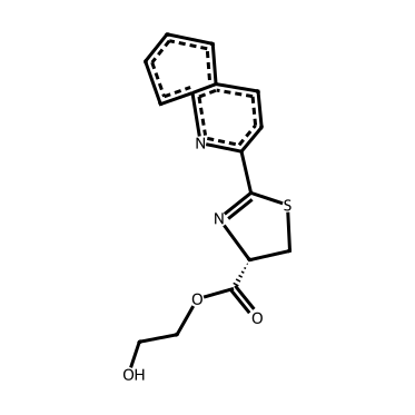 O=C(OCCO)[C@H]1CSC(c2ccc3ccccc3n2)=N1